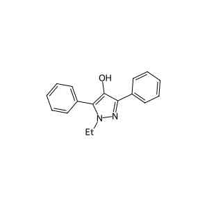 CCn1nc(-c2ccccc2)c(O)c1-c1ccccc1